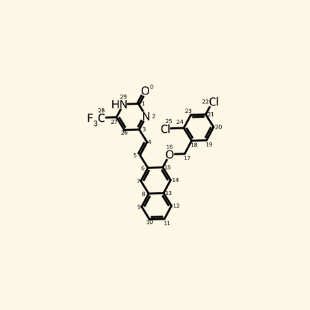 O=c1nc(C=Cc2cc3ccccc3cc2OCc2ccc(Cl)cc2Cl)cc(C(F)(F)F)[nH]1